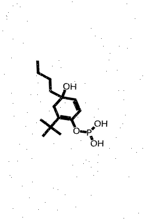 CCCCC1(O)C=CC(OP(O)O)=C(C(C)(C)C)C1